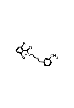 Cc1cccc(CSCCNC(=O)c2c(Br)cccc2Br)c1